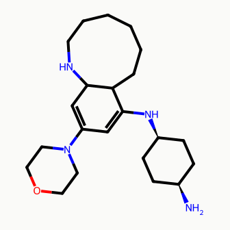 N[C@H]1CC[C@@H](NC2=CC(N3CCOCC3)=CC3NCCCCCCC23)CC1